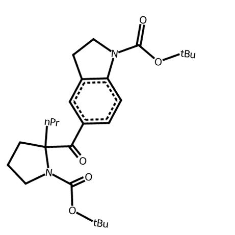 CCCC1(C(=O)c2ccc3c(c2)CCN3C(=O)OC(C)(C)C)CCCN1C(=O)OC(C)(C)C